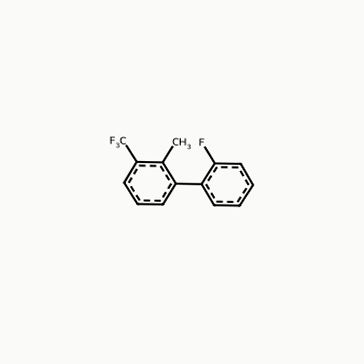 Cc1c(-c2ccccc2F)cccc1C(F)(F)F